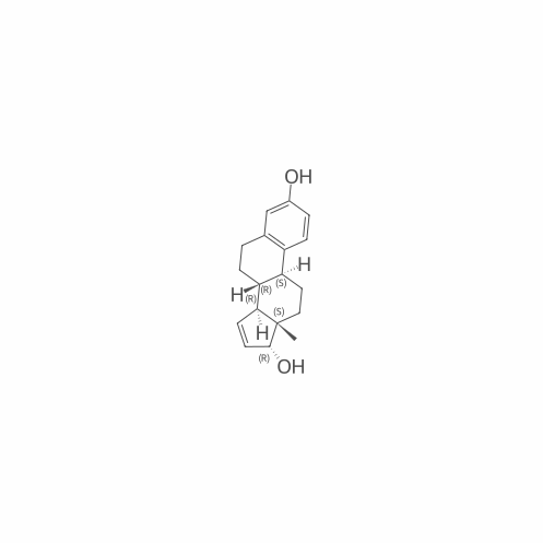 C[C@]12CC[C@@H]3c4ccc(O)cc4CC[C@H]3[C@@H]1C=C[C@H]2O